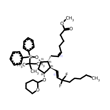 CCCCCC(F)(F)/C=C/[C@@H]1[C@@H](C/C=C\CCCC(=O)OC)[C@@H](O[Si](c2ccccc2)(c2ccccc2)C(C)(C)C)C[C@H]1OC1CCCCO1